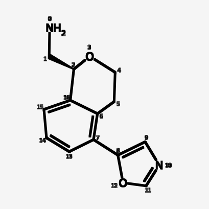 NC[C@H]1OCCc2c(-c3cnco3)cccc21